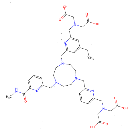 CCc1cc(CN2CCN(Cc3cccc(CN(CC(=O)O)CC(=O)O)n3)CCN(Cc3cccc(C(=O)NC)n3)CC2)nc(CN(CC(=O)O)CC(=O)O)c1